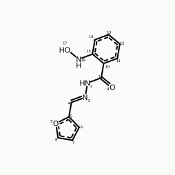 O=C(N/N=C/c1ccco1)c1ccccc1NO